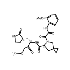 COc1ccccc1NC(=O)C(=O)N1CC2(CC2)C[C@H]1C(=O)N[C@@H](C[C@@H]1CCNC1=O)C(=O)COC(F)(F)F